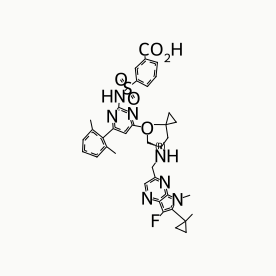 Cc1cccc(C)c1-c1cc(OC[C@@H](CC2(C)CC2)NCc2cnc3c(F)c(C4(C)CC4)n(C)c3n2)nc(NS(=O)(=O)c2cccc(C(=O)O)c2)n1